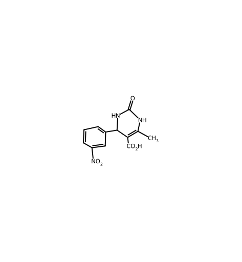 CC1=C(C(=O)O)C(c2cccc([N+](=O)[O-])c2)NC(=O)N1